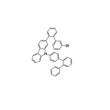 Brc1cccc(-c2ccccc2-c2ccc3c4ccccc4n(-c4ccc(-c5ccccc5-c5ccccc5)cc4)c3c2)c1